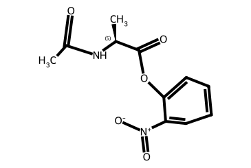 CC(=O)N[C@@H](C)C(=O)Oc1ccccc1[N+](=O)[O-]